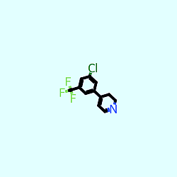 FC(F)(F)c1cc(Cl)cc(C2=CC=NCC2)c1